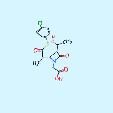 CC(O)C1C(=O)N(CC(=O)O)[C@@H]1C(C)C(=O)Sc1ccc(Cl)cc1